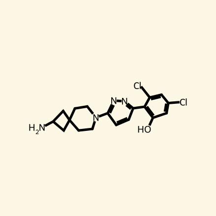 NC1CC2(CCN(c3ccc(-c4c(O)cc(Cl)cc4Cl)nn3)CC2)C1